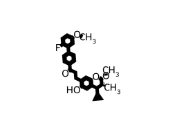 COC(=O)[C@@H](C)C(c1ccc(CCC(=O)c2ccc(-c3cc(OC)ccc3F)cc2)c(O)c1)C1CC1